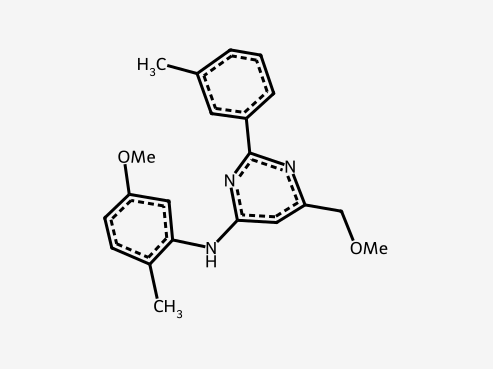 COCc1cc(Nc2cc(OC)ccc2C)nc(-c2cccc(C)c2)n1